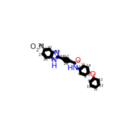 O=C(Nc1ccc(Oc2ccccc2)cc1)C1C2C(c3nc4cc([N+](=O)[O-])ccc4[nH]3)C12